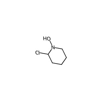 ON1CCCCC1Cl